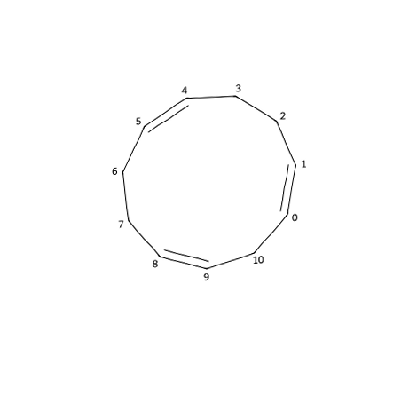 C1=CCCC=CCCC=CC1